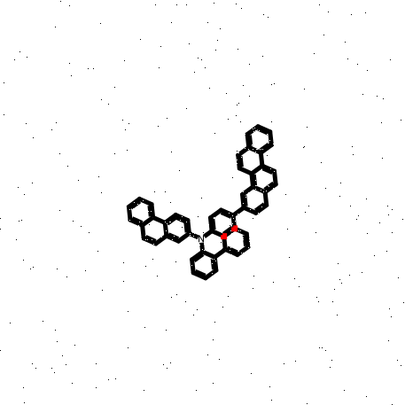 C1=C=c2c(ccc3ccccc23)=CC=1N(c1ccc(-c2ccc3ccc4c5ccccc5ccc4c3c2)cc1)c1ccccc1C1=CC=CCC1